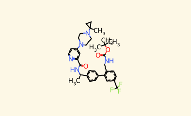 C[C@@H](NC(=O)c1cc(N2CCN(C3(C)CC3)CC2)ccn1)c1ccc(-c2cc(C(F)(F)F)ccc2CNC(=O)OC(C)(C)C)cc1